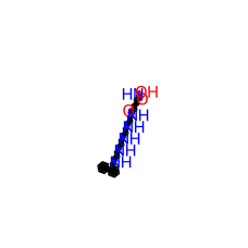 O=C(CCCCC(=O)NCCCNCCCNCCCNCCCNCc1ccccc1-c1ccccc1)NO